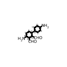 Nc1ccc(-c2ccc(N)c(C=O)c2C=O)cc1